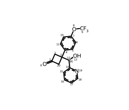 O=C1CC(c2ccc(OC(F)(F)F)cc2)([C@@H](O)c2ccccn2)C1